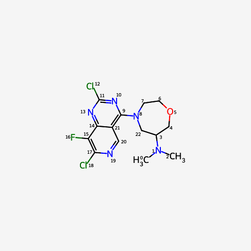 CN(C)C1COCCN(c2nc(Cl)nc3c(F)c(Cl)ncc23)C1